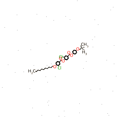 C=CCCCCCCCCCOc1ccc(C(=O)Oc2ccc(C(=O)Oc3ccc(OC[C@@H](C)CC)cc3)cc2Cl)cc1Cl